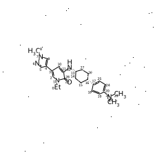 CCn1cc(-c2cnn(C)c2)cc(N[C@H]2CC[C@@H](c3ccc(N(C)C)cc3)CC2)c1=O